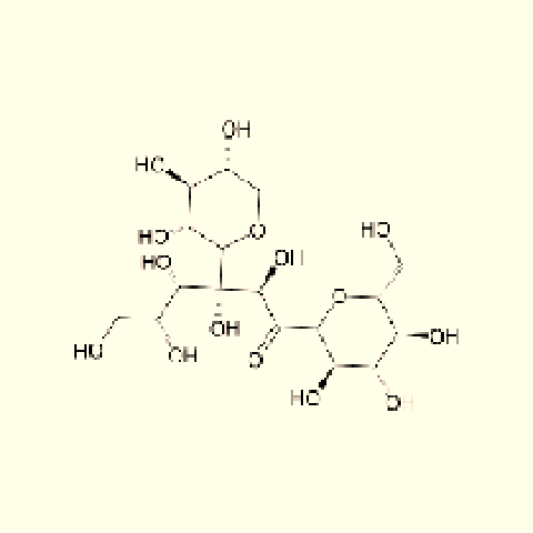 O=C(C1O[C@H](CO)[C@@H](O)[C@H](O)[C@H]1O)[C@H](O)[C@](O)(C1OC[C@@H](O)[C@H](O)[C@H]1O)[C@@H](O)[C@H](O)CO